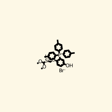 COC(OC)[SiH2]COc1ccc(O)cc1[P+](c1ccc(C)cc1)(c1ccc(C)cc1)c1ccc(C)cc1.[Br-]